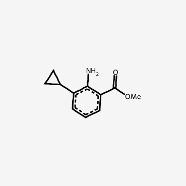 COC(=O)c1cccc(C2CC2)c1N